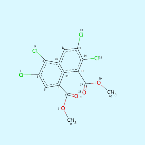 COC(=O)c1cc(Cl)c(Cl)c2cc(Cl)c(Cl)c(C(=O)OC)c12